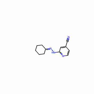 N#Cc1ccnc(NN=C2CCCCC2)c1